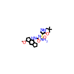 CO[C@H]1CCc2c1cc1c(c2NC(=O)N=S(N)(=O)c2cnn3c2OCC(C)(C)C3)CCC1